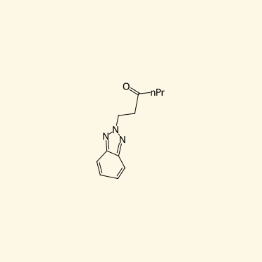 CCCC(=O)CCn1nc2ccccc2n1